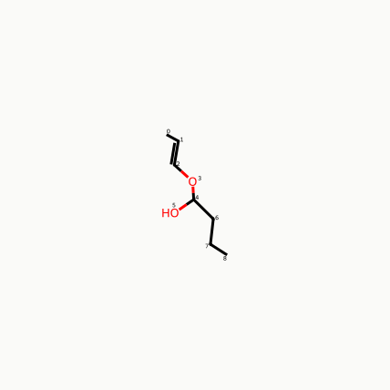 CC=COC(O)CCC